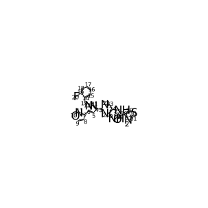 Nc1nc(-c2cc(-c3ccon3)n(Cc3ccccc3F)n2)ncc1NC(=O)c1cscn1